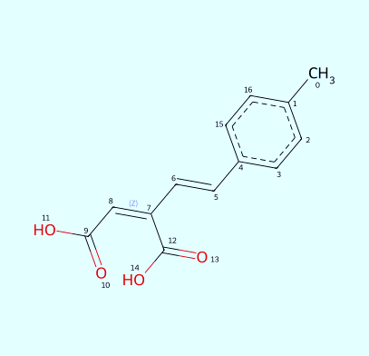 Cc1ccc(C=C/C(=C/C(=O)O)C(=O)O)cc1